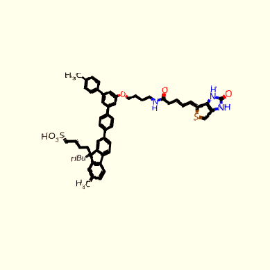 CCCCC1(CCCCS(=O)(=O)O)c2cc(C)ccc2-c2ccc(-c3ccc(-c4cc(OCCCCNC(=O)CCCCC5SCC6NC(=O)NC65)cc(-c5ccc(C)cc5)c4)cc3)cc21